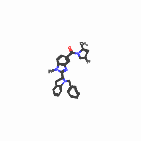 CC(C)C1C[C@H](C)N(C(=O)c2ccc3c(c2)nc(-c2cc4ccccc4n2Cc2ccccc2)n3C(C)C)C1